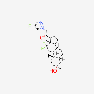 C[C@@]1(O)CC[C@H]2[C@H](CC[C@H]3C4CC[C@H](C(=O)Cn5cc(F)cn5)[C@@]4(C)C(F)(F)C[C@H]23)C1